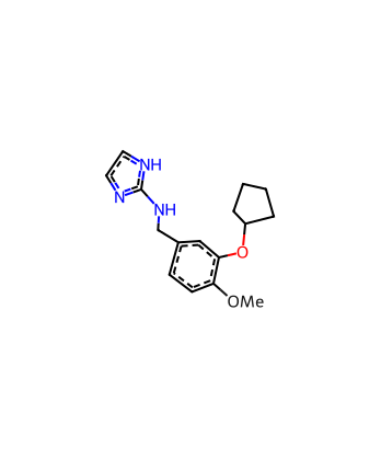 COc1ccc(CNc2ncc[nH]2)cc1OC1CCCC1